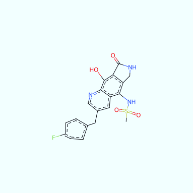 CS(=O)(=O)Nc1c2c(c(O)c3ncc(Cc4ccc(F)cc4)cc13)C(=O)NC2